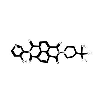 CC(C)(O)C1CCN(N2C(=O)c3ccc4c5c(ccc(c35)C2=O)C(=O)N(c2cnccc2O)C4=O)CC1